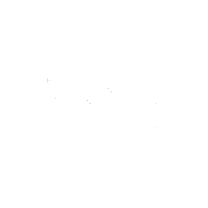 CC1(C)CCc2nc3cc(C(=O)Cl)ccc3c(=O)n2C1